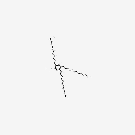 CC(C)CCCCCCCCCCCc1c(CCCCCCCCCCCC(C)C)c(C(=O)O)c(C(=O)O)c(CCCCCCCCCCCC(C)C)c1C(=O)O